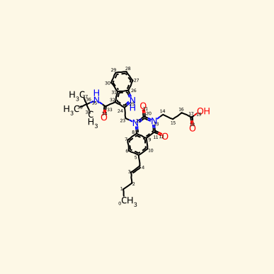 CCCC=Cc1ccc2c(c1)c(=O)n(CCCC(=O)O)c(=O)n2Cc1[nH]c2ccccc2c1C(=O)NC(C)(C)C